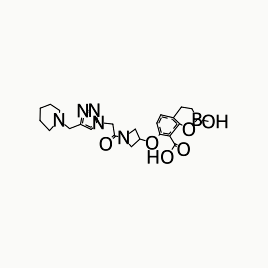 O=C(O)c1c(OC2CN(C(=O)Cn3cc(CN4CCCCC4)nn3)C2)ccc2c1OB(O)CC2